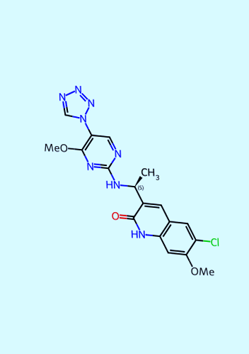 COc1cc2[nH]c(=O)c([C@H](C)Nc3ncc(-n4cnnn4)c(OC)n3)cc2cc1Cl